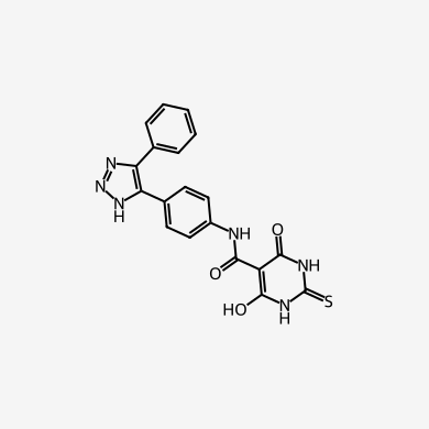 O=C(Nc1ccc(-c2[nH]nnc2-c2ccccc2)cc1)c1c(O)[nH]c(=S)[nH]c1=O